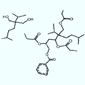 CC(C)CCC(CO)(CO)C(C)C.CCC(=O)OCC(CCC(C)C)(C(C)C)C(CC(COC(=O)c1ccccc1)OC(=O)CC)OC(=O)CC